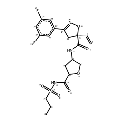 C=C[C@]1(C(=O)NC2COC(C(=O)NS(=O)(=O)CCC)C2)CC(c2cc(F)cc(F)c2)=NO1